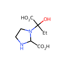 CCC(O)(C(=O)O)N1CCNC1C(=O)O